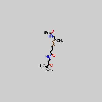 C=C(C)C(=O)CCNC(=O)CCCSSC(C)CNC(=O)C(C)C